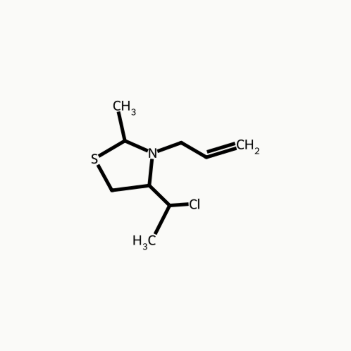 C=CCN1C(C)SCC1C(C)Cl